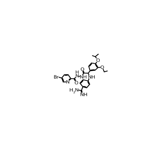 CCOc1cc(C(Nc2ccc(C(=N)N)cc2)C(=O)NNC(=O)c2ccc(Br)cn2)ccc1OC(C)C